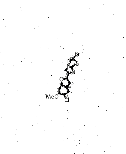 COc1cc2oc(-c3cn4nc(Br)sc4n3)cc2cc1Cl